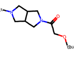 CCN1CC2CN(C(=O)COC(C)(C)C)CC2C1